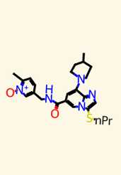 CCCSc1cnc2c(N3CCC(C)CC3)cc(C(=O)NCc3ccc(C)[n+]([O-])c3)cn12